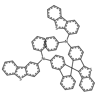 c1ccc(N(c2ccc3c(c2)-c2ccccc2C32c3cc(N(c4ccccc4)c4cccc5c4sc4ccccc45)ccc3-c3sc4ccccc4c32)c2ccc3sc4ccccc4c3c2)cc1